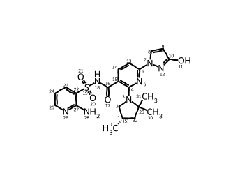 C[C@@H]1CN(c2nc(-n3ccc(O)n3)ccc2C(=O)NS(=O)(=O)c2cccnc2N)C(C)(C)C1